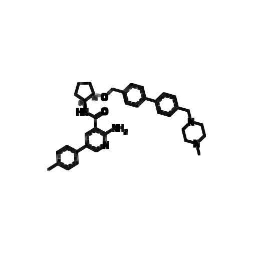 Cc1ccc(-c2cnc(N)c(C(=O)N[C@H]3CCC[C@@H]3OCc3ccc(-c4ccc(CN5CCN(C)CC5)cc4)cc3)c2)cc1